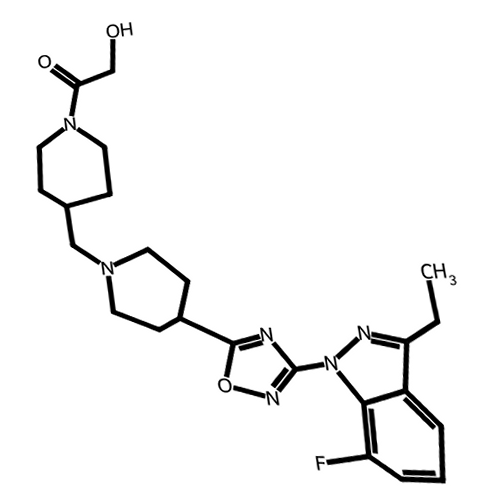 CCc1nn(-c2noc(C3CCN(CC4CCN(C(=O)CO)CC4)CC3)n2)c2c(F)cccc12